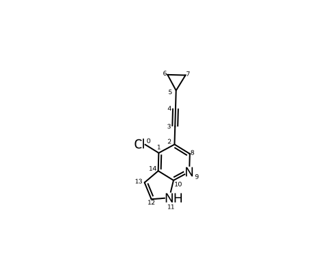 Clc1c(C#CC2CC2)cnc2[nH]ccc12